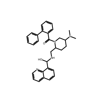 CN(C)C1CCC(CNC(O)c2cccc3cccnc23)N(C(=O)c2ccccc2-c2ccccc2)C1